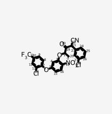 CC(Oc1cc(Oc2ccc(C(F)(F)F)cc2Cl)ccc1[N+](=O)[O-])C(=O)C(C#N)c1cccc(Cl)c1